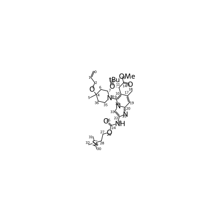 C=CCOC1(C)CCN(c2c([C@H](OC(C)(C)C)C(=O)OC)c(C)cc3nc(NC(=O)OCC[Si](C)(C)C)cn23)CC1